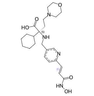 O=C(/C=C/c1ccc(CN[C@](CCN2CCOCC2)(C(=O)O)C2CCCCC2)cn1)NO